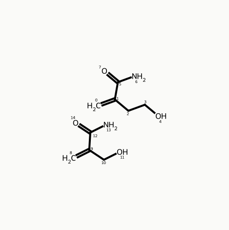 C=C(CCO)C(N)=O.C=C(CO)C(N)=O